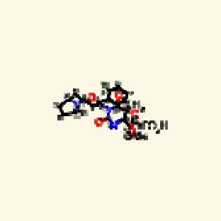 COCC1=NC(=O)N(CCCN2C3CCC2CC(OCc2ccccc2F)C3)C(=O)C1(C)OC(=O)C(=O)O